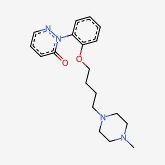 CN1CCN(CCCCOc2ccccc2-n2ncccc2=O)CC1